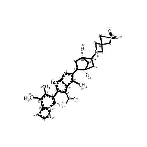 Cc1c(-c2[nH]c3sc(C4C[C@@H]5C[C@H]4CC5N4CC5(C4)CS(=O)(=O)C5)c(C)c3c2C(C)C)cn2ncnc2c1C